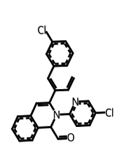 C=CC(=Cc1cccc(Cl)c1)C1=Cc2ccccc2C(C=O)N1c1ccc(Cl)cn1